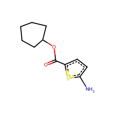 Nc1ccc(C(=O)OC2CCCCC2)s1